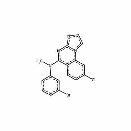 CN(c1cccc(Br)c1)c1nc2nccn2c2cc(Cl)ccc12